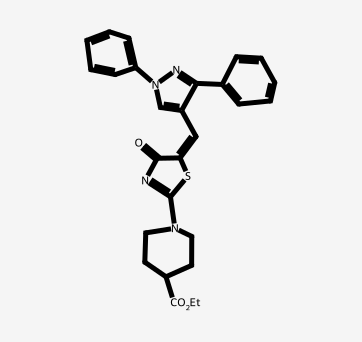 CCOC(=O)C1CCN(C2=NC(=O)/C(=C\c3cn(-c4ccccc4)nc3-c3ccccc3)S2)CC1